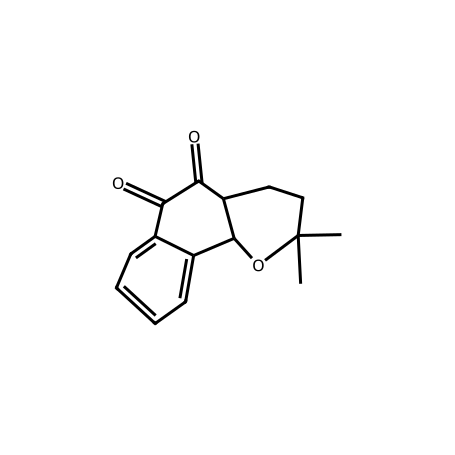 CC1(C)CCC2C(=O)C(=O)c3ccccc3C2O1